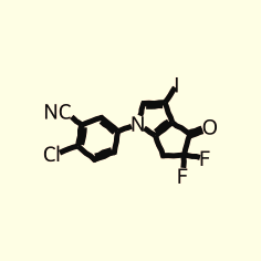 N#Cc1cc(-n2cc(I)c3c2CC(F)(F)C3=O)ccc1Cl